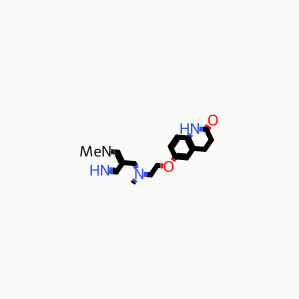 CN/C=C(\C=N)CN(C)CCOc1ccc2c(c1)CCC(=O)N2